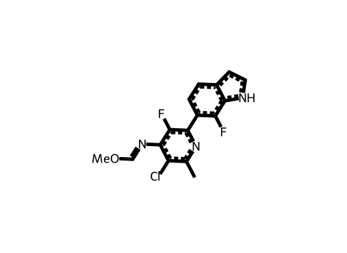 CO/C=N/c1c(F)c(-c2ccc3cc[nH]c3c2F)nc(C)c1Cl